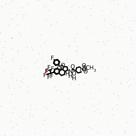 CS(=O)(=O)N1CCC(O)(C(=O)N[C@@H]2CC[C@@]3(S(=O)(=O)c4ccc(F)cc4)c4ccc(C(F)(C(F)(F)F)C(F)(F)F)cc4CC[C@@H]23)CC1